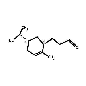 CC1=CC[C@H](C(C)C)C[C@H]1CCC=O